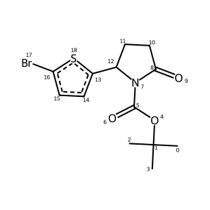 CC(C)(C)OC(=O)N1C(=O)CCC1c1ccc(Br)s1